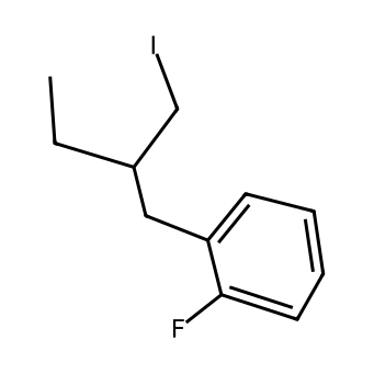 CCC(CI)Cc1ccccc1F